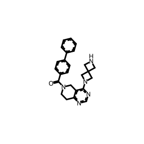 O=C(c1ccc(-c2ccccc2)cc1)N1CCc2ncnc(N3CC4(CNC4)C3)c2C1